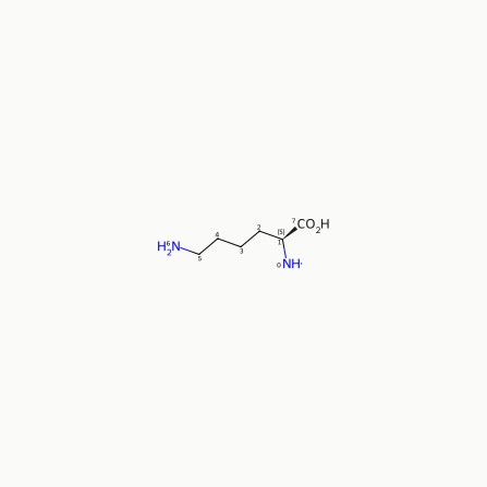 [NH][C@@H](CCCCN)C(=O)O